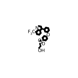 O=S(=O)(CCCO)c1ccc(Oc2cccc(-c3ccnc4c(C(F)(F)F)cccc34)c2)cc1